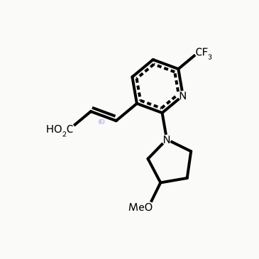 COC1CCN(c2nc(C(F)(F)F)ccc2/C=C/C(=O)O)C1